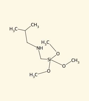 CO[Si](CNCC(C)C)(OC)OC